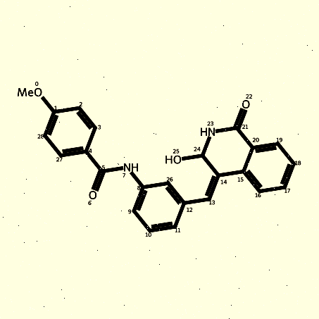 COc1ccc(C(=O)Nc2cccc(/C=C3/c4ccccc4C(=O)NC3O)c2)cc1